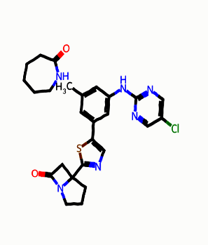 Cc1cc(Nc2ncc(Cl)cn2)cc(-c2cnc(C34CCCN3C(=O)C4)s2)c1.O=C1CCCCCN1